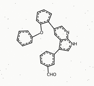 O=Cc1cccc(-c2c[nH]c3ncc(-c4ccccc4Oc4ccccc4)cc23)c1